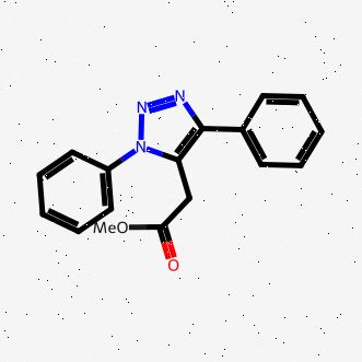 COC(=O)Cc1c(-c2ccccc2)nnn1-c1ccccc1